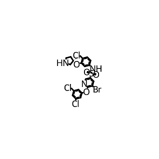 C[C@@]1(Oc2cc(NS(=O)(=O)c3cnc(Oc4cc(Cl)cc(Cl)c4)c(Br)c3)ccc2Cl)CCNC1